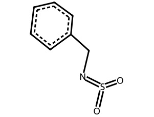 O=S(=O)=NCc1ccccc1